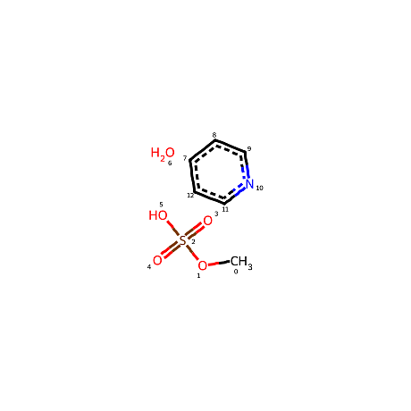 COS(=O)(=O)O.O.c1ccncc1